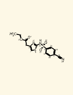 CCOC(=O)Cc1csc(NS(=O)(=O)c2ccc(C#N)cc2)n1